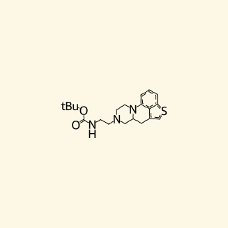 CC(C)(C)OC(=O)NCCN1CCN2c3cccc4scc(c34)CC2C1